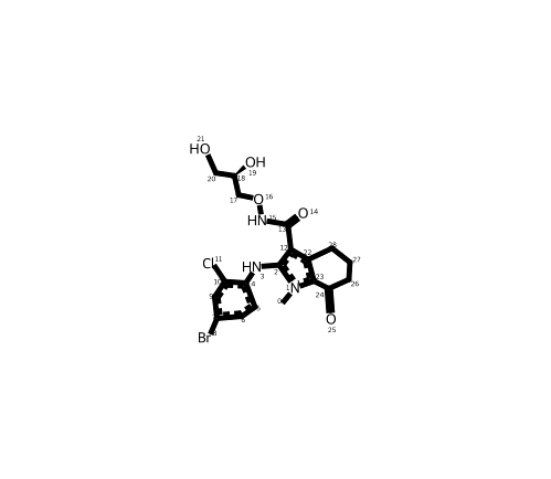 Cn1c(Nc2ccc(Br)cc2Cl)c(C(=O)NOC[C@H](O)CO)c2c1C(=O)CCC2